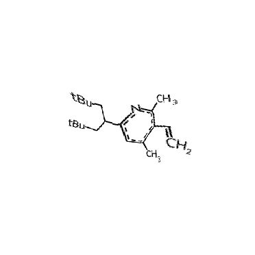 C=Cc1c(C)cc(C(CC(C)(C)C)CC(C)(C)C)nc1C